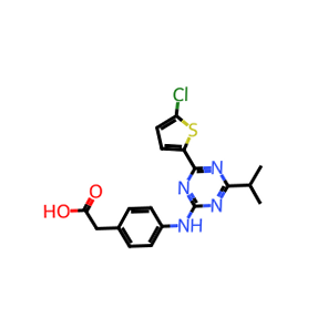 CC(C)c1nc(Nc2ccc(CC(=O)O)cc2)nc(-c2ccc(Cl)s2)n1